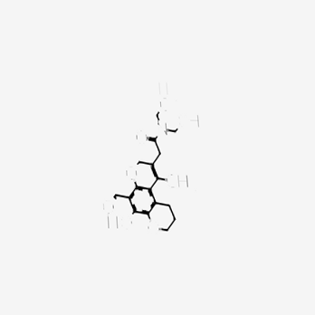 CCN(CC)C(=O)CC1=C(C)c2c3c(c(O)c(C=O)c2OC1)OCCC3